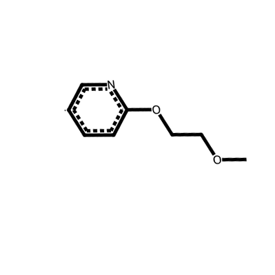 COCCOc1cc[c]cn1